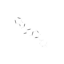 O=c1oc2cc(N3CCNCC3)ncc2cc1-c1cn2ccccc2n1